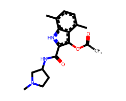 Cc1ccc(C)c2c(OC(=O)C(F)(F)F)c(C(=O)NC3CCN(C)C3)[nH]c12